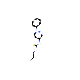 CCCNC(=S)N=c1ccn(-c2ccccc2)nc1